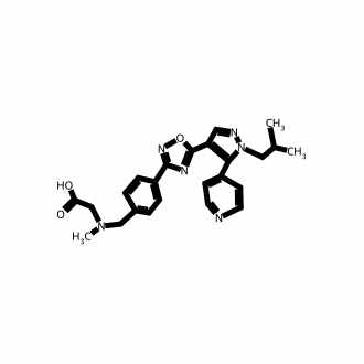 CC(C)Cn1ncc(-c2nc(-c3ccc(CN(C)CC(=O)O)cc3)no2)c1-c1ccncc1